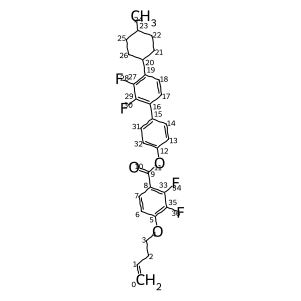 C=CCCOc1ccc(C(=O)Oc2ccc(-c3ccc(C4CCC(C)CC4)c(F)c3F)cc2)c(F)c1F